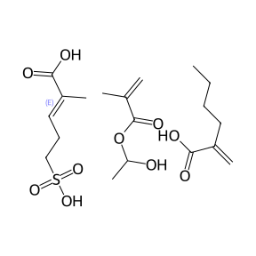 C/C(=C\CCS(=O)(=O)O)C(=O)O.C=C(C)C(=O)OC(C)O.C=C(CCCC)C(=O)O